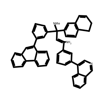 CNC(/C=C(\N)c1cccc(-c2cncc3ccccc23)c1)(c1cccc(-c2cc3ccccc3c3ccccc23)c1)c1ccc2c(c1)C=CCC2